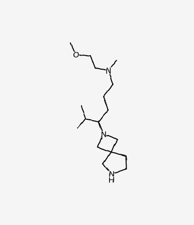 COCCN(C)CCCC(C(C)C)N1CC2(CCNC2)C1